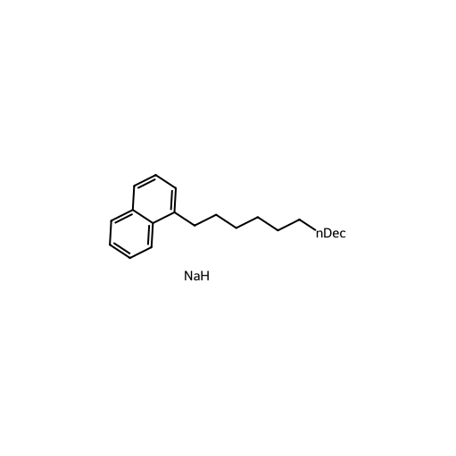 CCCCCCCCCCCCCCCCc1cccc2ccccc12.[NaH]